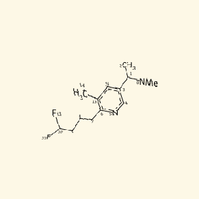 CNC(C)c1cnc(CCCC(F)F)c(C)c1